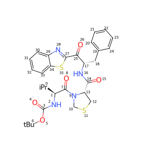 CC(C)[C@H](NC(=O)OC(C)(C)C)C(=O)N1CSC[C@H]1C(=O)N[C@@H](Cc1ccccc1)C(=O)c1nc2ccccc2s1